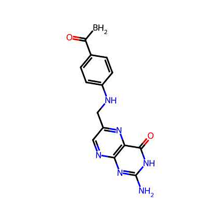 BC(=O)c1ccc(NCc2cnc3nc(N)[nH]c(=O)c3n2)cc1